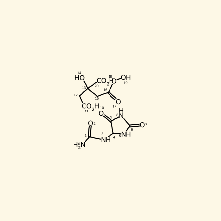 NC(=O)NC1NC(=O)NC1=O.O=C(O)CC(O)(CC(=O)OO)C(=O)O